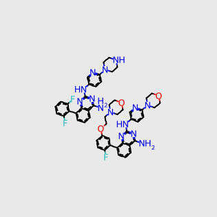 Nc1nc(Nc2ccc(N3CCNCC3)nc2)nc2c(-c3c(F)cccc3F)cccc12.Nc1nc(Nc2ccc(N3CCOCC3)nc2)nc2c(-c3cc(OCCN4CCOCC4)ccc3F)cccc12